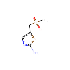 CS(=O)(=O)Cc1cnc(N)s1